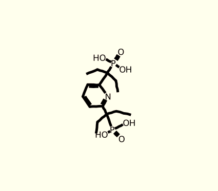 CCC(CC)(c1cccc(C(CC)(CC)P(=O)(O)O)n1)P(=O)(O)O